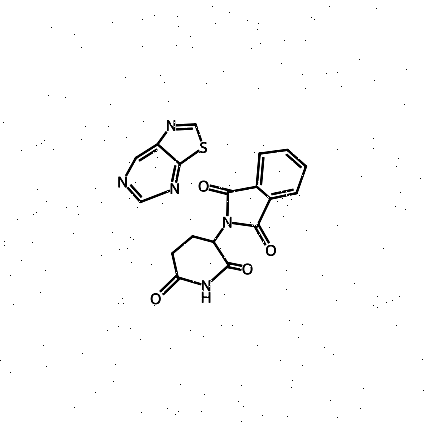 O=C1CCC(N2C(=O)c3ccccc3C2=O)C(=O)N1.c1ncc2ncsc2n1